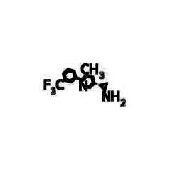 Cc1cc([C@@H]2C[C@H]2N)cnc1-c1cccc(C(F)(F)F)c1